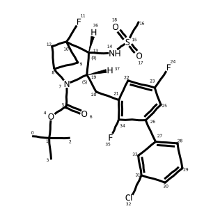 CC(C)(C)OC(=O)N1C2CC(F)(C2)[C@H](NS(C)(=O)=O)[C@@H]1Cc1cc(F)cc(-c2cccc(Cl)c2)c1F